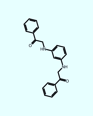 O=C(CNc1cccc(NCC(=O)c2ccccc2)c1)c1ccccc1